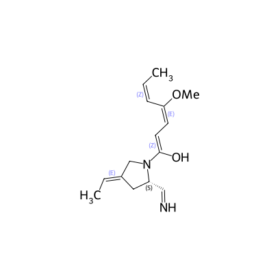 C\C=C/C(=C\C=C(/O)N1C/C(=C/C)C[C@H]1C=N)OC